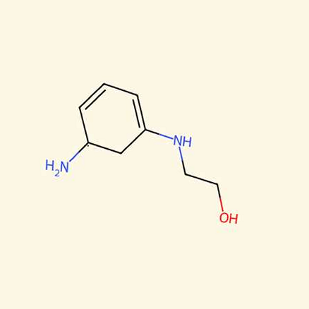 N[C]1C=CC=C(NCCO)C1